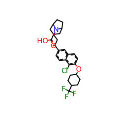 O=C(O)C1CC2CCC(C1)N2CCCc1ccc2c(Cl)c(OC3CCC(C(F)(F)F)CC3)ccc2c1